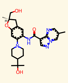 Cc1cnc2c(C(=O)Nc3cc4c(cc3N3CCC(C(C)(C)O)CC3)O[C@@](C)(CO)C4)cnn2c1